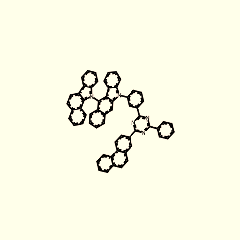 c1ccc(-c2nc(-c3cccc(-n4c5ccccc5c5c(-n6c7ccccc7c7ccc8ccccc8c76)c6ccccc6cc54)c3)nc(-c3ccc4c(ccc5ccccc54)c3)n2)cc1